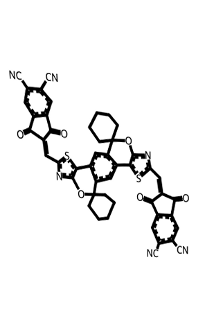 N#Cc1cc2c(cc1C#N)C(=O)C(=Cc1nc3c(s1)-c1cc4c(cc1C1(CCCCC1)O3)-c1sc(C=C3C(=O)c5cc(C#N)c(C#N)cc5C3=O)nc1OC41CCCCC1)C2=O